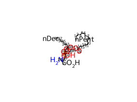 CCCCC/C=C\C/C=C\C/C=C\C/C=C\CCCC(=O)OC[C@H](COP(=O)(O)OC[C@H](N)C(=O)O)OC(=O)CCCCCCCCCCCCCCC